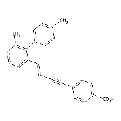 Cc1ccc(-c2c(C)cccc2/C=C/C#Cc2ccc(C(=O)O)cc2)cc1